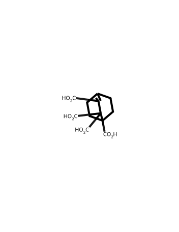 O=C(O)C1=C2CCC(C(=O)O)(CC2)C1(C(=O)O)C(=O)O